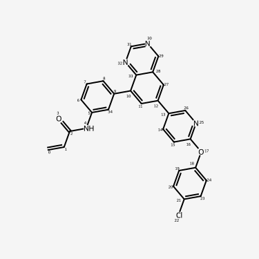 C=CC(=O)Nc1cccc(-c2cc(-c3ccc(Oc4ccc(Cl)cc4)nc3)cc3cncnc23)c1